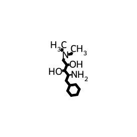 CCN(CC)CC(O)C(O)[C@@H](N)CC1CCCCC1